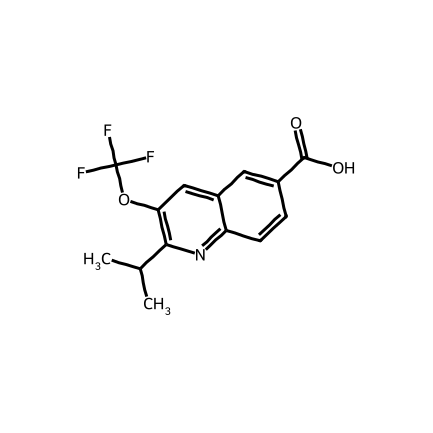 CC(C)c1nc2ccc(C(=O)O)cc2cc1OC(F)(F)F